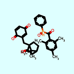 CC1(C)C2CCC1(CC1=CC(=O)C=CC1=O)C(=O)C2.Cc1cc(C)c(C(=O)[PH](=O)c2ccccc2)c(C)c1